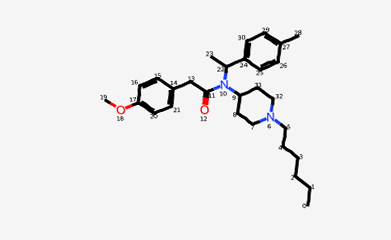 CCCCCCN1CCC(N(C(=O)Cc2ccc(OC)cc2)C(C)c2ccc(C)cc2)CC1